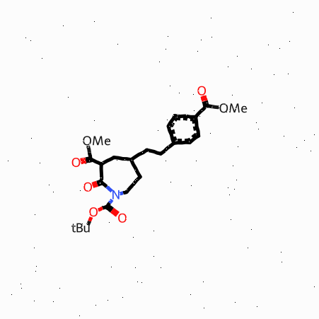 COC(=O)c1ccc(CCC2CCN(C(=O)OC(C)(C)C)C(=O)C(C(=O)OC)C2)cc1